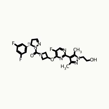 Cc1nn(CCO)c(C)c1-c1ncc(F)c(OC2CN(C(=O)N3N=CC[C@H]3c3cc(F)cc(F)c3)C2)n1